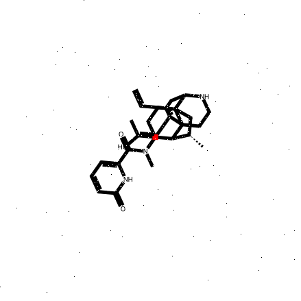 C=CC1=C(/C=C(\C)O)C23CCNC(C1)C21CCC(N(C)C(=O)c2cccc(=O)[nH]2)C3[C@@H](C)C1